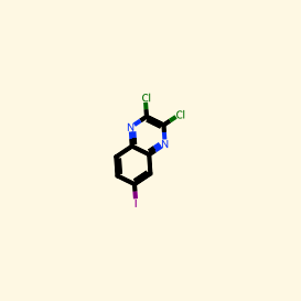 Clc1nc2ccc(I)cc2nc1Cl